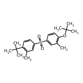 Cc1cc(S(=O)(=O)c2ccc(C(C)(C)C)c(C)c2)ccc1OC(C)(C)C